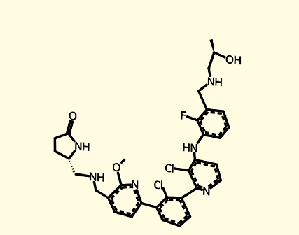 COc1nc(-c2cccc(-c3nccc(Nc4cccc(CNC[C@@H](C)O)c4F)c3Cl)c2Cl)ccc1CNC[C@@H]1CCC(=O)N1